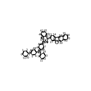 c1ccc(-c2ccc(N(c3ccccc3)c3ccc(-c4nc(-c5ccc6c(c5)oc5cc7ccccc7cc56)c5ccccc5n4)cc3)cc2)cc1